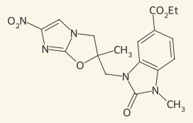 CCOC(=O)c1ccc2c(c1)n(CC1(C)Cn3cc([N+](=O)[O-])nc3O1)c(=O)n2C